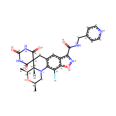 C[C@@H]1CN2c3c(cc4c(C(=O)NCc5ccncc5)noc4c3F)CC3(C(=O)NC(=O)NC3=O)[C@H]2[C@H](C)O1